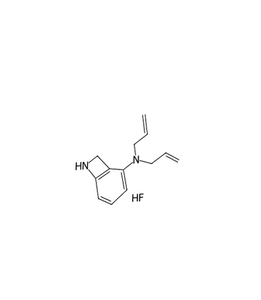 C=CCN(CC=C)c1cccc2c1CN2.F